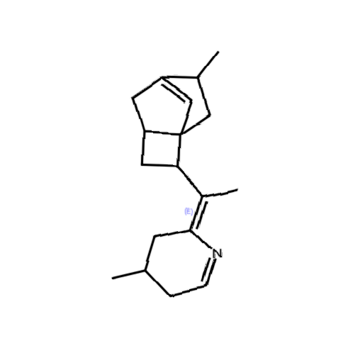 C/C(=C1/CC(C)CC=N1)C1CC2CC3=CC21CC3C